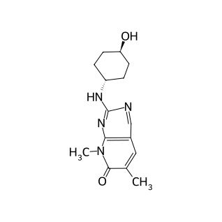 Cc1cc2cnc(N[C@H]3CC[C@H](O)CC3)nc2n(C)c1=O